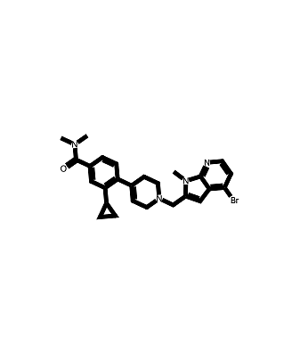 CN(C)C(=O)c1ccc(C2=CCN(Cc3cc4c(Br)ccnc4n3C)CC2)c(C2CC2)c1